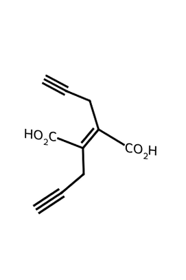 C#CCC(C(=O)O)=C(CC#C)C(=O)O